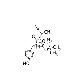 CC(C#N)NC(=O)C(Cc1ccc(O)cc1)NC(=O)OC(C)(C)C